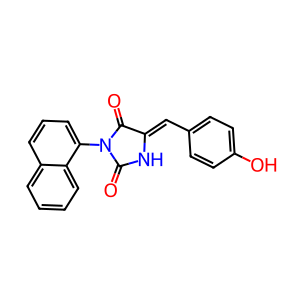 O=C1NC(=Cc2ccc(O)cc2)C(=O)N1c1cccc2ccccc12